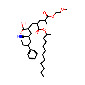 CCCCCCCCCCC(C)OC(=O)C(CC(C)C(=O)OCCOC)CC(CC(C#N)CC(CC)c1ccccc1)C(=O)O